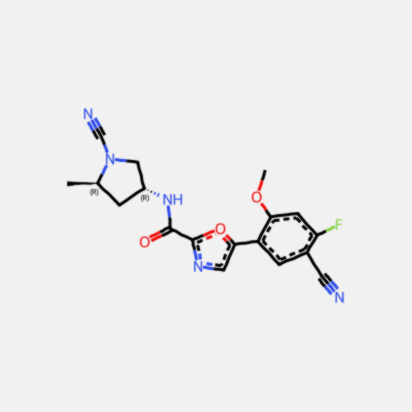 COc1cc(F)c(C#N)cc1-c1cnc(C(=O)N[C@@H]2C[C@@H](C)N(C#N)C2)o1